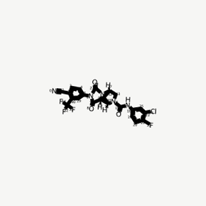 N#Cc1ccc(N2C(=O)[C@H]3[C@@H]4C[C@@H](CN4C(=O)Nc4ccc(F)c(Cl)c4)N3C2=O)cc1C(F)(F)F